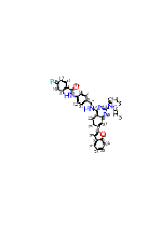 CN(C)c1nc(NCc2ccc(NC(=O)c3ccc(F)cc3)cc2)c2ccc(-c3cc4ccccc4o3)cc2n1